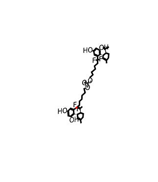 C=C(C)[C@H]1CCC(C)=C[C@@H]1c1c(O)cc(O)cc1C(F)(F)CCCCCCO[N+](=O)OCCCCCCC(F)(F)c1cc(O)cc(O)c1[C@H]1C=C(C)CC[C@@H]1C(=C)C